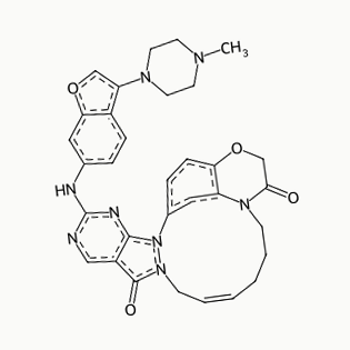 CN1CCN(c2coc3cc(Nc4ncc5c(=O)n6n(c5n4)-c4ccc5c(c4)N(CCC/C=C\C6)C(=O)CO5)ccc23)CC1